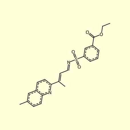 CCOC(=O)c1cccc(S(=O)(=O)N=CC=C(C)c2ccc3cc(C)ccc3n2)c1